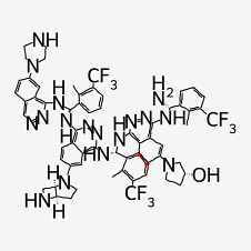 Cc1c([C@H](Nc2nnc(N[C@@H](Nc3nncc4ccc(N5CCNCC5)cc34)c3cccc(C(F)(F)F)c3C)c3ccc(N4CC[C@H]5NC[C@H]54)cc23)Nc2nnc(N[C@H](N)c3cccc(C(F)(F)F)c3C)c3cc(N4CC[C@@H](O)C4)ccc23)cccc1C(F)(F)F